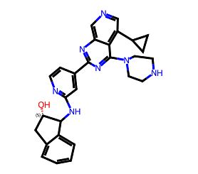 O[C@H]1Cc2ccccc2C1Nc1cc(-c2nc(N3CCNCC3)c3c(C4CC4)cncc3n2)ccn1